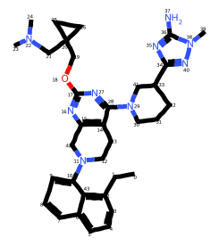 CCc1cccc2cccc(N3CCc4c(nc(OCC5(CN(C)C)CC5)nc4N4CCCC(c5nc(N)n(C)n5)C4)C3)c12